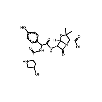 CC1(C)S[C@@H]2[C@H](NC(=O)C(NC(=O)[C@@H]3CC(O)CN3)c3ccc(O)cc3)C(=O)N2[C@H]1C(=O)O